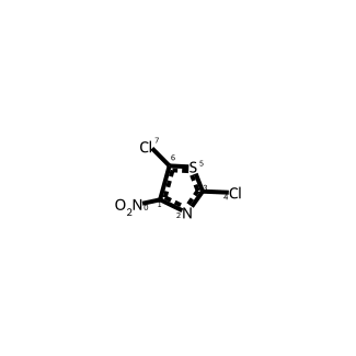 O=[N+]([O-])c1nc(Cl)sc1Cl